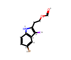 O=COCCc1[nH]c2ccc(Br)cc2c1I